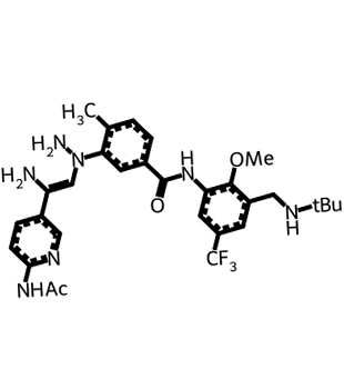 COc1c(CNC(C)(C)C)cc(C(F)(F)F)cc1NC(=O)c1ccc(C)c(N(N)/C=C(\N)c2ccc(NC(C)=O)nc2)c1